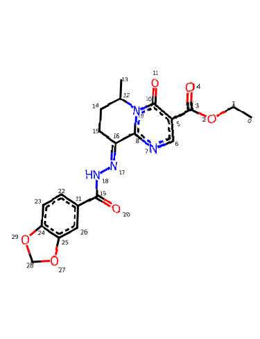 CCOC(=O)c1cnc2n(c1=O)C(C)CCC2=NNC(=O)c1ccc2c(c1)OCO2